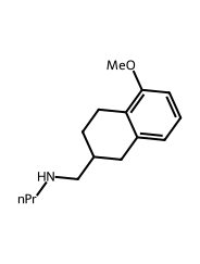 CCCNCC1CCc2c(cccc2OC)C1